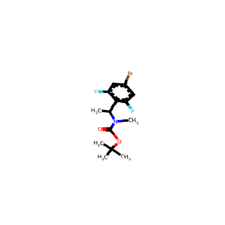 CC(c1c(F)cc(Br)cc1F)N(C)C(=O)OC(C)(C)C